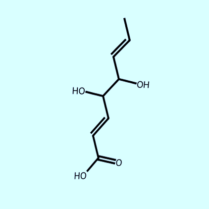 CC=CC(O)C(O)C=CC(=O)O